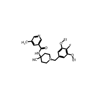 CCOc1cc(CN2CCC(C#N)(NC(=O)c3cncc(C)c3)CC2)cc(OCC)c1F